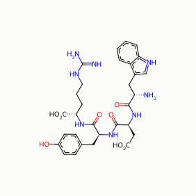 N=C(N)NCCC[C@H](NC(=O)[C@H](Cc1ccc(O)cc1)NC(=O)[C@H](CC(=O)O)NC(=O)[C@@H](N)Cc1c[nH]c2ccccc12)C(=O)O